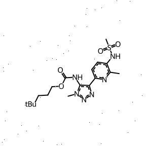 Cc1nc(-c2nnn(C)c2NC(=O)OCCCC(C)(C)C)ccc1NS(C)(=O)=O